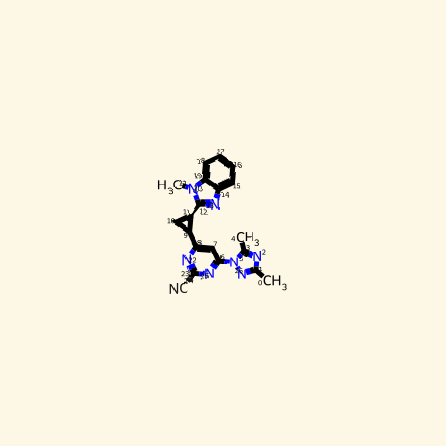 Cc1nc(C)n(-c2cc(C3C[C@H]3c3nc4ccccc4n3C)nc(C#N)n2)n1